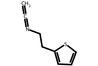 C=C=NCCc1cccs1